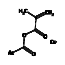 C=C(C)C(=O)OC(=O)C(C)=O.[Cu]